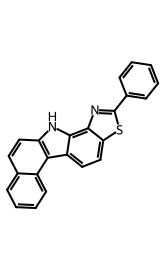 c1ccc(-c2nc3c(ccc4c3[nH]c3ccc5ccccc5c34)s2)cc1